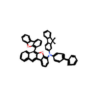 CC1(C)c2ccccc2-c2ccc(N(c3ccc(-c4ccccc4)cc3)c3cccc4c3oc3c(-c5cccc6c5oc5ccccc56)c5ccccc5cc34)cc21